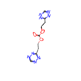 O=C(OCCc1nncnn1)OCCc1nncnn1